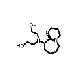 OCCN(CCO)C1CCCCN2CCCN=C12